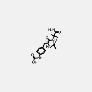 CC(=O)N[C@@H](Cc1ccc(NC(=O)O)cc1)C(=O)NC(C)(C)C(N)=O